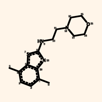 Cc1ccc(C)c2sc(NCCN3CCOCC3)nc12